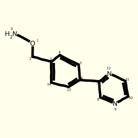 NOCc1ccc(-c2cnccn2)cc1